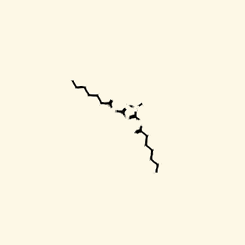 CCCCCCC(=O)Nc1nc(SC(=O)CCCCCC)n(C)n1